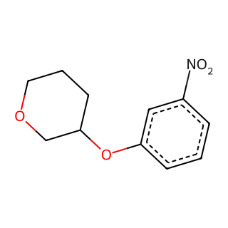 O=[N+]([O-])c1cccc(OC2CCCOC2)c1